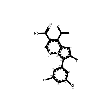 Cc1cc2c(C(C)C)c(C(=O)O)cnn2c1-c1cc(Cl)cc(Cl)c1